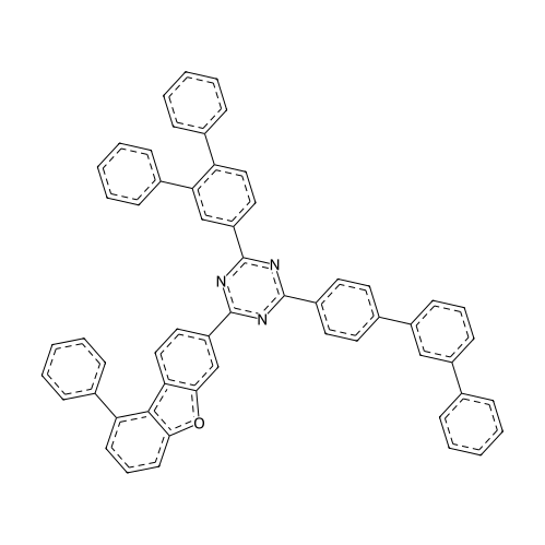 c1ccc(-c2cccc(-c3ccc(-c4nc(-c5ccc(-c6ccccc6)c(-c6ccccc6)c5)nc(-c5ccc6c(c5)oc5cccc(-c7ccccc7)c56)n4)cc3)c2)cc1